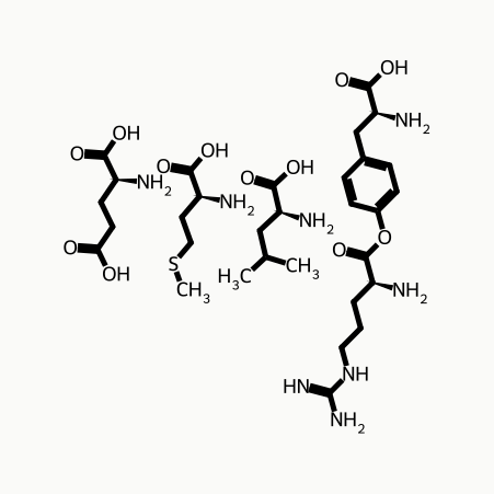 CC(C)C[C@H](N)C(=O)O.CSCC[C@H](N)C(=O)O.N=C(N)NCCC[C@H](N)C(=O)Oc1ccc(C[C@H](N)C(=O)O)cc1.N[C@@H](CCC(=O)O)C(=O)O